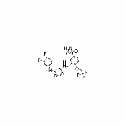 NS(=O)(=O)c1ccc(OCC(F)(F)F)c(CNc2cc(Nc3ccc(F)c(F)c3)ncn2)c1